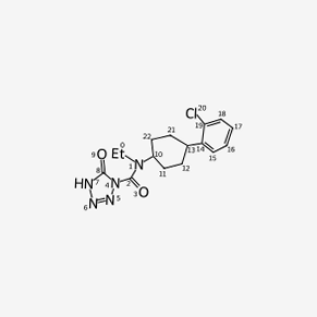 CCN(C(=O)n1nn[nH]c1=O)C1CCC(c2ccccc2Cl)CC1